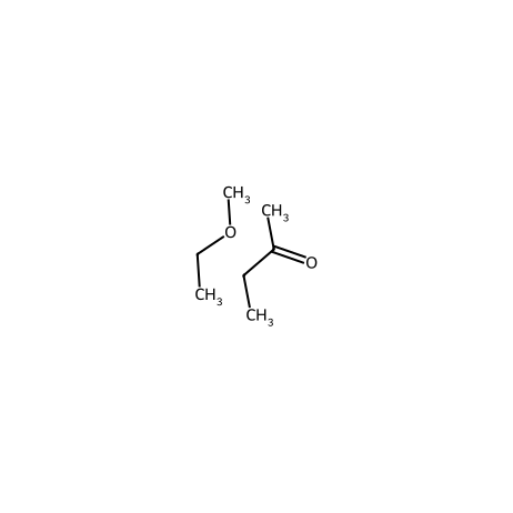 CCC(C)=O.CCOC